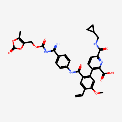 C=Cc1cc(C(=O)Nc2ccc(C(=N)NC(=O)OCc3oc(=O)oc3C)cc2)c(-c2ccc(C(=O)NCC3CC3)nc2C(=O)O)cc1OC